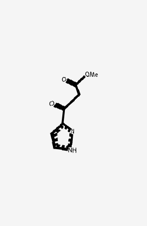 COC(=O)CC(=O)c1cc[nH]n1